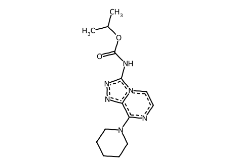 CC(C)OC(=O)Nc1nnc2c(N3CCCCC3)nccn12